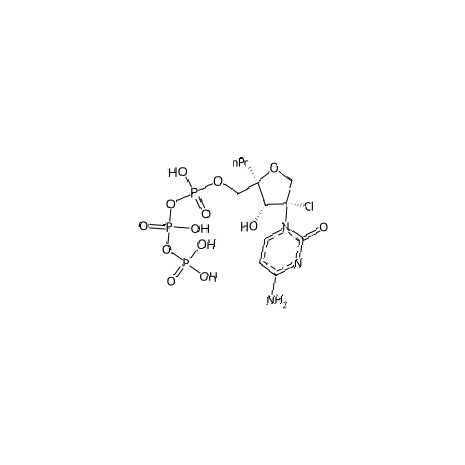 CCC[C@]1(COP(=O)(O)OP(=O)(O)OP(=O)(O)O)OC[C@@](Cl)(n2ccc(N)nc2=O)[C@@H]1O